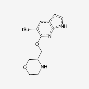 CC(C)(C)c1cc2cc[nH]c2nc1OCC1COCCN1